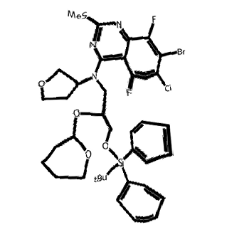 CSc1nc(N(CC(CO[Si](c2ccccc2)(c2ccccc2)C(C)(C)C)OC2CCCCO2)C2CCOC2)c2c(F)c(Cl)c(Br)c(F)c2n1